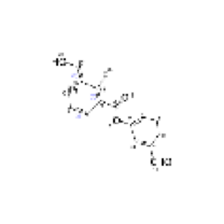 CC(C)\C=C/C(C(=O)OC1=CCCC(C=O)=C1)=C(F)\C=C\O